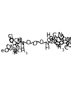 COC(=O)CC1N=C(c2ccc(Cl)cc2)c2c(sc(C(=O)NCCOCCOCCOCCNC(=O)Cn3c(=O)n(C(C)c4ccccn4)c4c5cc(OC)c(-c6c(C)noc6C)cc5ncc43)c2C)-n2c(C)nnc21